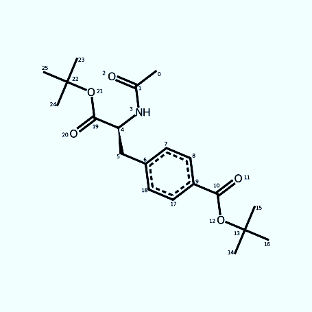 CC(=O)N[C@@H](Cc1ccc(C(=O)OC(C)(C)C)cc1)C(=O)OC(C)(C)C